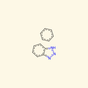 c1ccc2[nH]nnc2c1.c1ccccc1